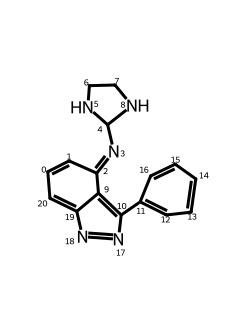 C1=CC(=NC2NCCN2)C2=C(c3ccccc3)N=NC2=C1